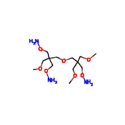 COCC(COC)(CON)COCC(COC)(CON)CON